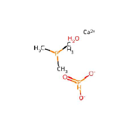 CP(C)C.O.O=[PH]([O-])[O-].[Ca+2]